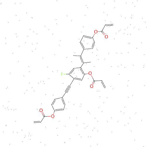 C=CC(=O)Oc1ccc(C#Cc2cc(OC(=O)C=C)c(/C(C)=C(\C)c3ccc(OC(=O)C=C)cc3)cc2F)cc1